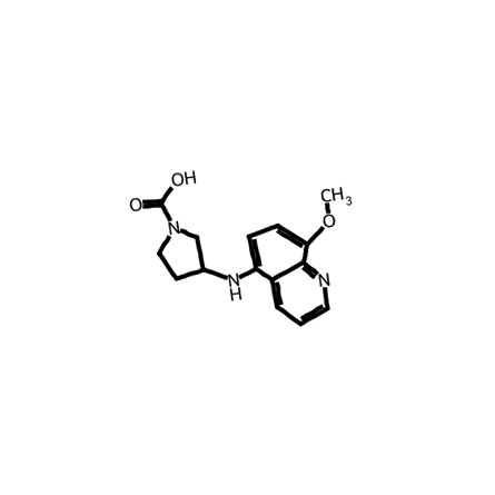 COc1ccc(NC2CCN(C(=O)O)C2)c2cccnc12